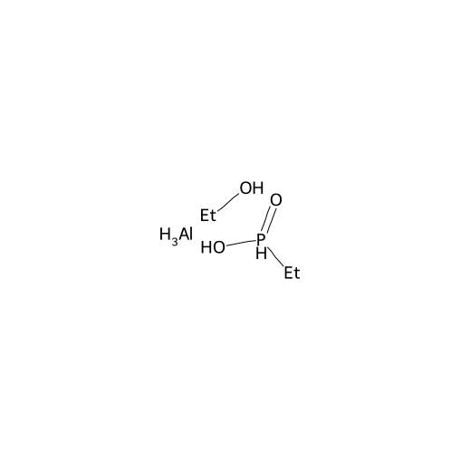 CCO.CC[PH](=O)O.[AlH3]